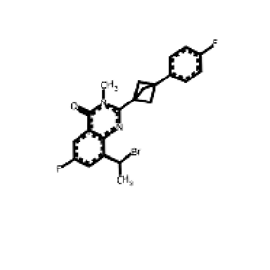 CC(Br)c1cc(F)cc2c(=O)n(C)c(C34CC(c5ccc(F)cc5)(C3)C4)nc12